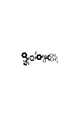 CCC(CC)C(=O)Nc1ccc(N2CCN(C(c3ccccc3)c3nccs3)CC2)c(F)c1